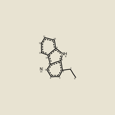 CCc1cccc2c1[nH]c1ccccc12.[N]